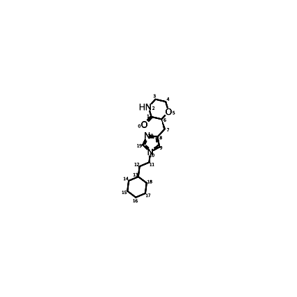 O=C1NCCO[C@H]1Cc1cn(CCC2CCCCC2)cn1